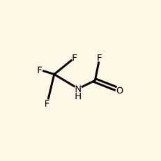 O=C(F)NC(F)(F)F